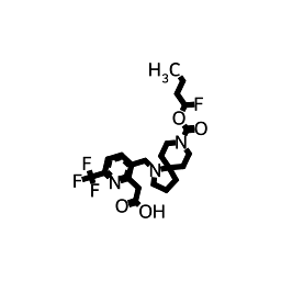 CCCC(F)OC(=O)N1CCC2(CCCN2Cc2ccc(C(F)(F)F)nc2CC(=O)O)CC1